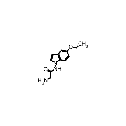 CCOc1ccc2c(ccn2NC(=O)CN)c1